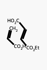 C=CC(=O)O.CCOC(=O)C=CC(=O)O